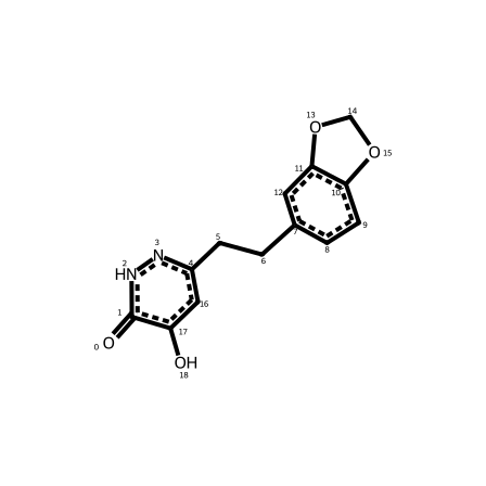 O=c1[nH]nc(CCc2ccc3c(c2)OCO3)cc1O